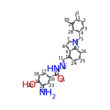 Cc1ccc(Cn2ccc3c(/C=N/NC(=O)c4ccc(O)c(N)c4)cccc32)cc1C